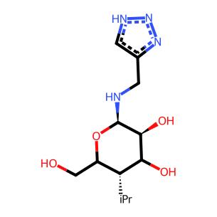 CC(C)[C@@H]1C(CO)O[C@@H](NCc2c[nH]nn2)[C@@H](O)C1O